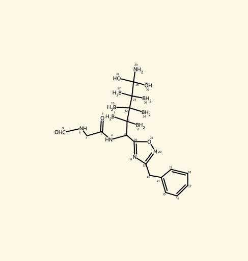 BC(B)(C(NC(=O)CNC=O)c1nc(Cc2ccccc2)no1)C(B)(B)C(B)(B)C(N)(O)O